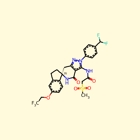 CS(=O)(=O)CC(=O)Nc1c2c(nn1-c1ccc(C(F)F)cc1)C[C@]1(CCc3cc(OCC(F)(F)F)ccc31)NC2=O